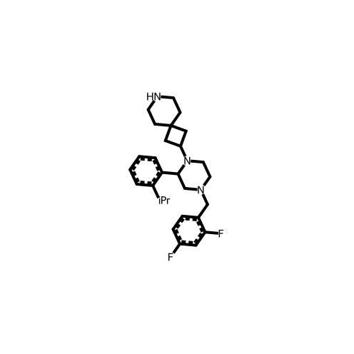 CC(C)c1ccccc1C1CN(Cc2ccc(F)cc2F)CCN1C1CC2(CCNCC2)C1